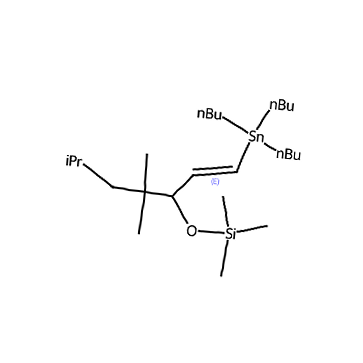 CCC[CH2][Sn](/[CH]=C/C(O[Si](C)(C)C)C(C)(C)CC(C)C)([CH2]CCC)[CH2]CCC